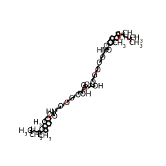 CC(C)CCC[C@H](C)C1CCC2C3CC=C4C[C@@H](OC(=O)NCCCOCCOCCOCCOCC(O)COP(=O)(O)CC(CO)COCCOCCOCCOCCOCCNC(=O)O[C@H]5CC[C@@]6(C)C(=CCC7C8CCC([C@@H](C)CCCC(C)C)[C@@]8(C)CCC76)C5)CC[C@]4(C)C3CC[C@@]21C